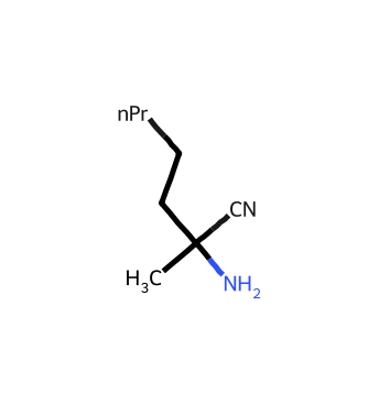 CCCCCC(C)(N)C#N